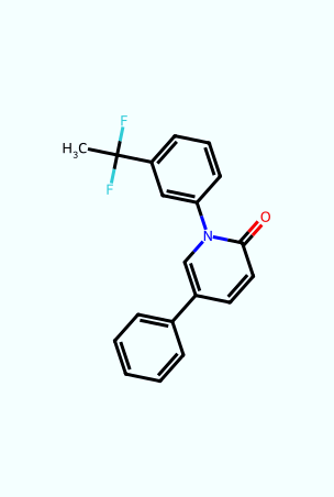 CC(F)(F)c1cccc(-n2cc(-c3ccccc3)ccc2=O)c1